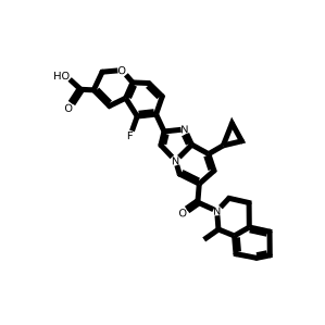 CC1c2ccccc2CCN1C(=O)c1cc(C2CC2)c2nc(-c3ccc4c(c3F)C=C(C(=O)O)CO4)cn2c1